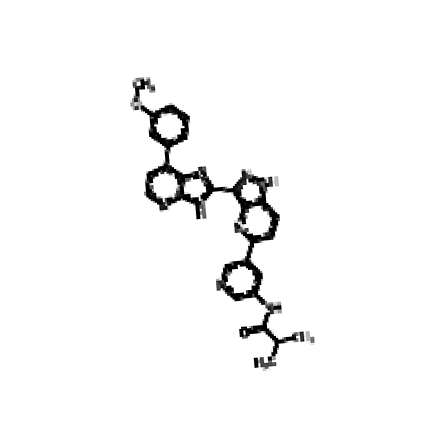 COc1cccc(-c2ccnc3[nH]c(-c4n[nH]c5ccc(-c6cncc(NC(=O)C(C)C)c6)nc45)nc23)c1